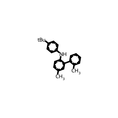 Cc1ccc(Nc2ccc(C(C)(C)C)cc2)c(-c2ccccc2C)c1